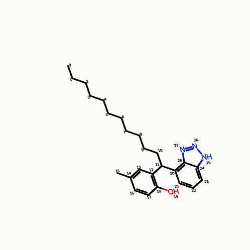 CCCCCCCCCCCC(c1cc(C)ccc1O)c1cccc2[nH]nnc12